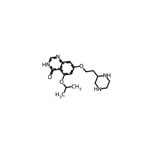 CC(C)Oc1cc(OCCC2CNCCN2)cc2nc[nH]c(=O)c12